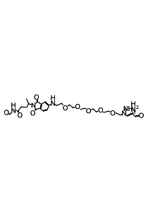 CC(CCC(=O)NC=O)N1C(=O)c2ccc(NCCOCCOCCOCCOCCOCCN(N)/C=C(\N)C=O)cc2C1=O